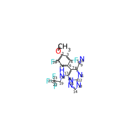 COc1cc(F)c(-c2c(C#N)nc3ncnn3c2NCC(F)(F)F)cc1F